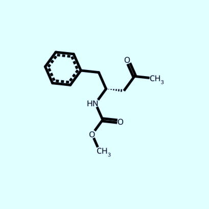 COC(=O)N[C@@H](CC(C)=O)Cc1ccccc1